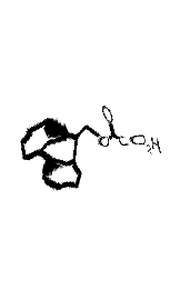 O=C(O)C(=O)OCC1c2ccccc2-c2ccccc21